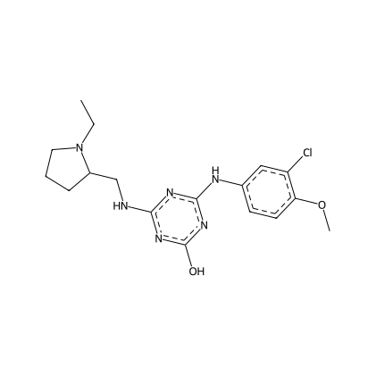 CCN1CCCC1CNc1nc(O)nc(Nc2ccc(OC)c(Cl)c2)n1